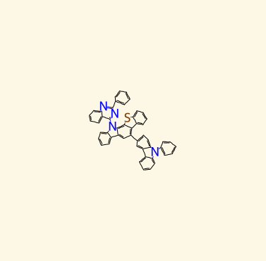 c1ccc(-c2nc(-n3c4ccccc4c4cc(-c5ccc6c(c5)c5ccccc5n6-c5ccccc5)c5c6ccccc6sc5c43)c3ccccc3n2)cc1